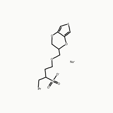 CC(C)CC(CCOCC1COc2cscc2O1)S(=O)(=O)[O-].[Na+]